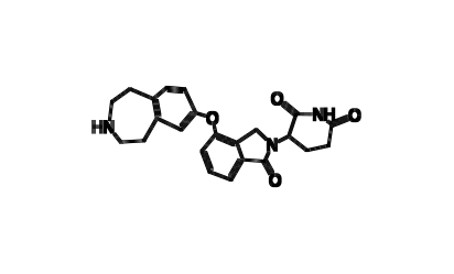 O=C1CCC(N2Cc3c(Oc4ccc5c(c4)CCNCC5)cccc3C2=O)C(=O)N1